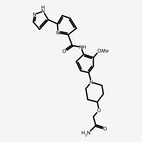 COc1cc(N2CCC(OCC(N)=O)CC2)ccc1NC(=O)c1cccc(-c2ccn[nH]2)n1